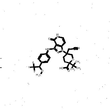 COC(c1ccc(Nc2nn(C3(CC#N)CCC(C(=O)O)(C(C)(C)C)OC3)c3cc[nH]c(=O)c23)cc1)C(F)(F)F